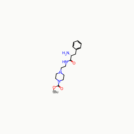 CC(C)(C)OC(=O)N1CCN(CCNC(=O)[C@H](N)Cc2ccccc2)CC1